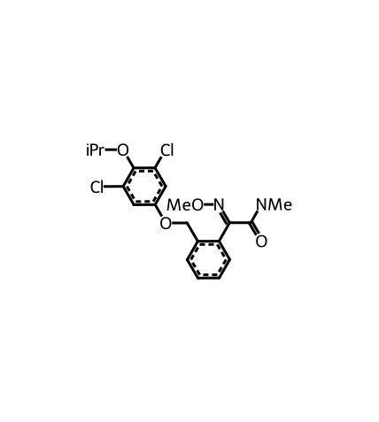 CNC(=O)/C(=N/OC)c1ccccc1COc1cc(Cl)c(OC(C)C)c(Cl)c1